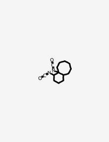 O=C=NC1CCCC2CCCCCCC21N=C=O